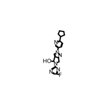 OC1c2cn(-c3ccc(C4CCCC4)nc3)nc2CN1c1cncc(F)n1